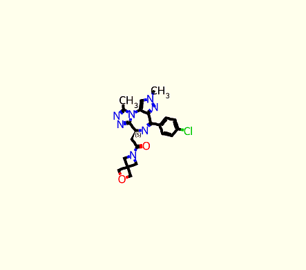 Cc1nnc2n1-c1cn(C)nc1C(c1ccc(Cl)cc1)=N[C@H]2CC(=O)N1CC2(COC2)C1